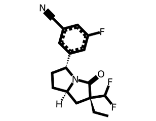 CC[C@@]1(C(F)F)C[C@H]2CC[C@H](c3cc(F)cc(C#N)c3)N2C1=O